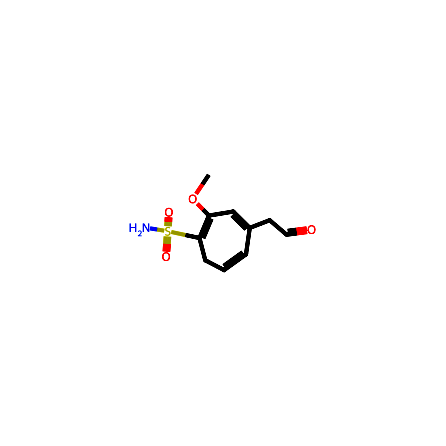 COC1=C(S(N)(=O)=O)CC=CC(CC=O)=C1